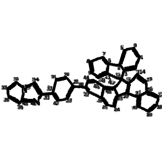 c1ccc2c(c1)-c1ccccc1C21c2ccc3ccccc3c2-c2ccc3cc(-c4ccc(-c5cn6ccccc6n5)cc4)ccc3c21